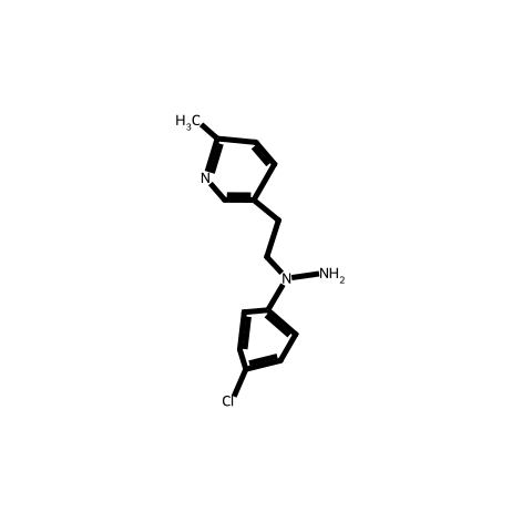 Cc1ccc(CCN(N)c2ccc(Cl)cc2)cn1